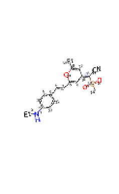 CCNc1ccc(C=CC2=C/C(=C(/C#N)S(C)(=O)=O)C=C(CC)O2)cc1